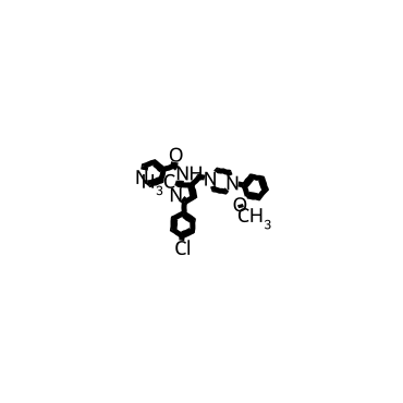 COc1ccccc1N1CCN(CC2=CC(c3ccc(Cl)cc3)=NC2(C)NC(=O)c2ccncc2)CC1